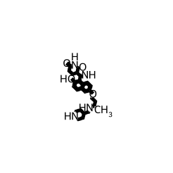 CC(CCOc1ccc2c(C(=N)C3CCC(=O)NC3=O)c(O)ccc2c1)NCC1CCNCC1